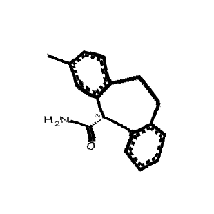 Cc1ccc2c(c1)[C@@H](C(N)=O)c1ccccc1CC2